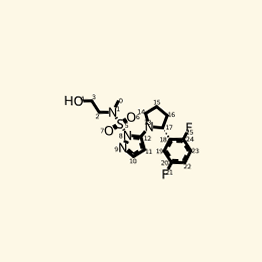 CN(CCO)S(=O)(=O)n1nccc1N1CCC[C@@H]1c1cc(F)ccc1F